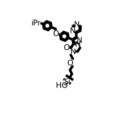 CC(C)c1ccc(COc2ccc(-c3c(-c4ccncn4)nn4c3C(=O)N(CCOCCCC(C)(C)[Si](C)(C)O)CC4)cc2)cc1